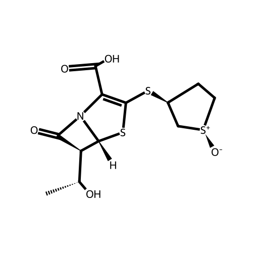 C[C@@H](O)[C@H]1C(=O)N2C(C(=O)O)=C(S[C@H]3CC[S@@+]([O-])C3)S[C@H]12